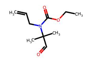 C=CCN(C(=O)OCC)C(C)(C)C=O